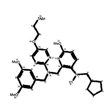 CCN(CC1CCCC1)c1ccc(OC)nc1CN(Cc1cc(OC)cc(OC)c1)c1ncc(OCCSC)cn1